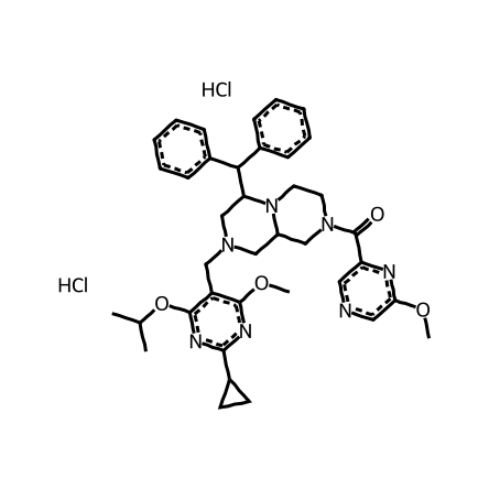 COc1cncc(C(=O)N2CCN3C(CN(Cc4c(OC)nc(C5CC5)nc4OC(C)C)CC3C(c3ccccc3)c3ccccc3)C2)n1.Cl.Cl